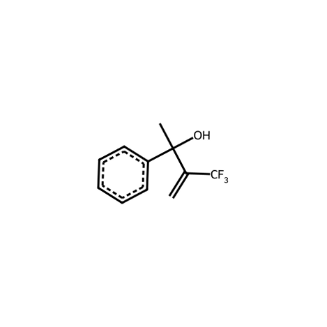 C=C(C(F)(F)F)C(C)(O)c1ccccc1